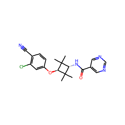 CC1(C)[C@H](NC(=O)c2cncnc2)C(C)(C)[C@H]1Oc1ccc(C#N)c(Cl)c1